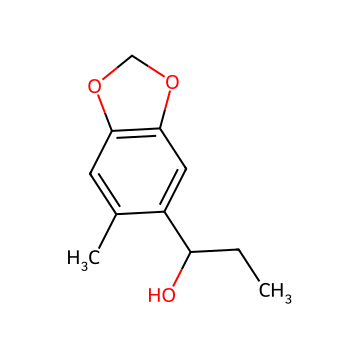 CCC(O)c1cc2c(cc1C)OCO2